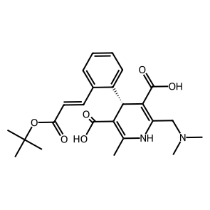 CC1=C(C(=O)O)[C@H](c2ccccc2/C=C/C(=O)OC(C)(C)C)C(C(=O)O)=C(CN(C)C)N1